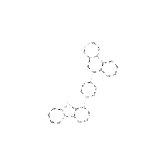 c1ccc2c(c1)cc(-c1ccc(-c3cccc4c3[nH]c3ccccc34)cc1)c1ccccc12